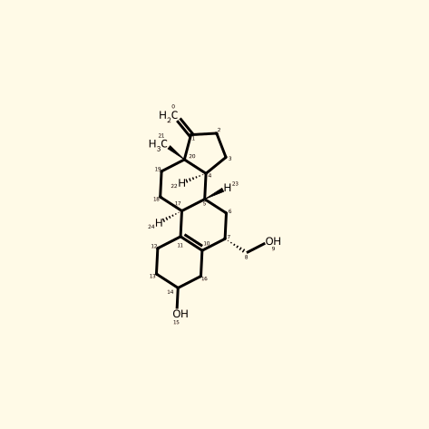 C=C1CC[C@H]2[C@@H]3C[C@H](CO)C4=C(CCC(O)C4)[C@H]3CC[C@]12C